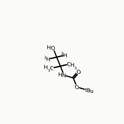 [2H]C([2H])(O)C(C)(C)NC(=O)OC(C)(C)C